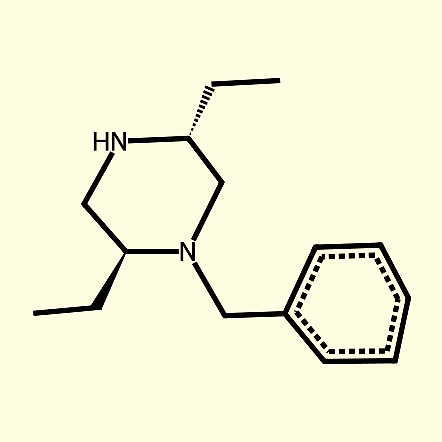 CC[C@@H]1CN(Cc2ccccc2)[C@@H](CC)CN1